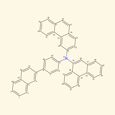 c1ccc2cc(-c3ccc(N(c4ccc5ccc6ccccc6c5c4)c4cc5ccccc5c5ccccc45)cc3)ccc2c1